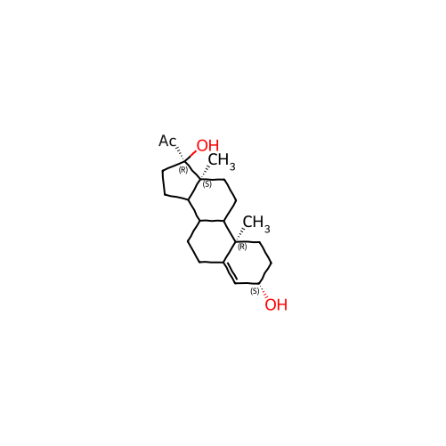 CC(=O)[C@@]1(O)CCC2C3CCC4=C[C@@H](O)CC[C@]4(C)C3CC[C@@]21C